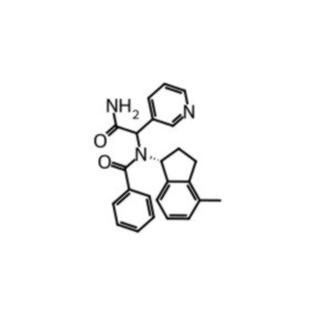 Cc1cccc2c1CC[C@H]2N(C(=O)c1ccccc1)C(C(N)=O)c1cccnc1